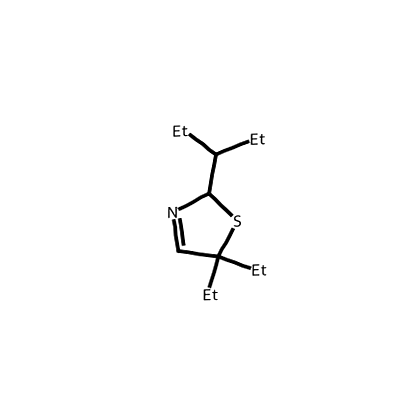 CCC(CC)C1N=CC(CC)(CC)S1